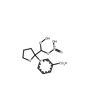 O=C(O)c1ccc[n+](C2(C(OO)O[PH](=O)O)CCCO2)c1